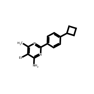 CCc1c(C)nc(-c2ccc(C3CCC3)cc2)nc1N